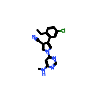 CCc1ccc(Cl)cc1-c1cn(-c2cc(NC)ncn2)cc1C#N